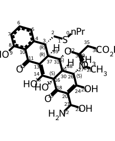 CCCSC[C@H]1c2cccc(O)c2C(=O)C2=C(O)[C@]3(O)C(=O)C(C(N)O)=C(O)[C@@H](N(C)C)[C@@H]3[C@@H](OC(=O)CC(=O)O)[C@@H]21